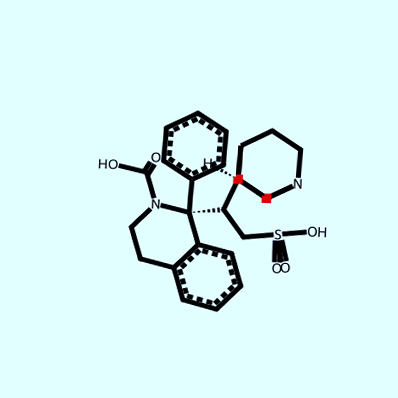 O=C(O)N1CCc2ccccc2[C@@]1(c1ccccc1)C(CS(=O)(=O)O)[C@@H]1CN2CCC1CC2